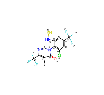 Cc1c(C(F)(F)F)ncn(-c2c(Cl)cc(C(F)(F)F)cc2NS)c1=O